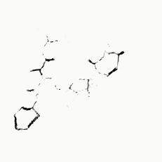 CC(C(=O)OC(C(F)(F)F)C(F)(F)F)N(OC[C@H]1O[C@@H](n2ccc(=O)[nH]c2=O)[C@](C)(F)[C@@H]1O)[PH](=O)Oc1ccccc1